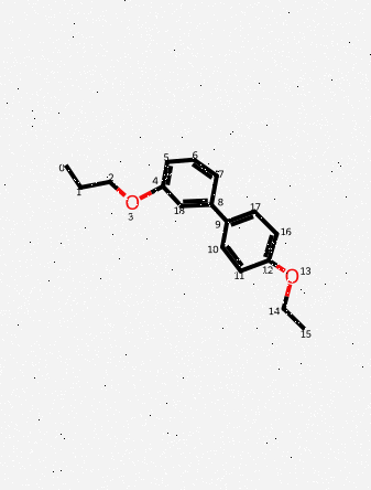 CCCOc1cc[c]c(-c2ccc(OCC)cc2)c1